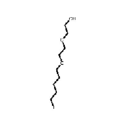 OCCOCCOCCCCCI